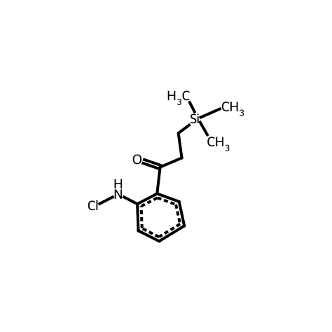 C[Si](C)(C)CCC(=O)c1ccccc1NCl